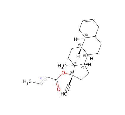 C#C[C@]1(OC(=O)/C=C/C)CC[C@H]2[C@@H]3CCC4CC=CC[C@@H]4[C@H]3CC[C@@]21C